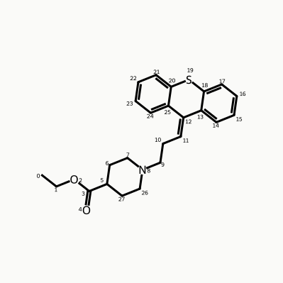 CCOC(=O)C1CCN(CCC=C2c3ccccc3Sc3ccccc32)CC1